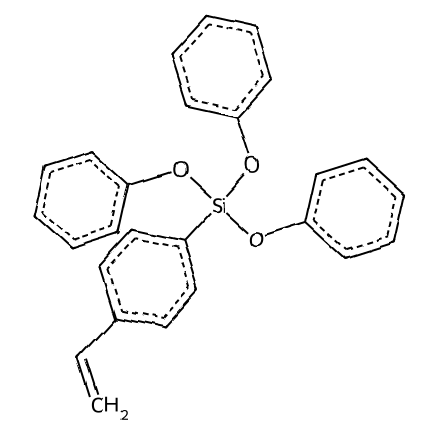 C=Cc1ccc([Si](Oc2ccccc2)(Oc2ccccc2)Oc2ccccc2)cc1